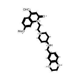 COc1ccc2c(C=O)cc(=O)n(CCN3CCC(NCc4ccc5c(c4)OCCO5)CC3)c2c1